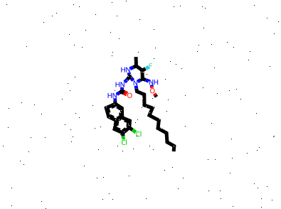 CCCCCCCCCCCN1C(NC(=O)Nc2ccc3cc(Cl)c(Cl)cc3c2)NC(C)C(F)C1NOC